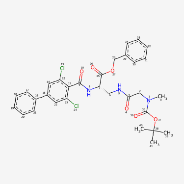 CN(CC(=O)NC[C@H](NC(=O)c1c(Cl)cc(-c2ccccc2)cc1Cl)C(=O)OCc1ccccc1)C(=O)OC(C)(C)C